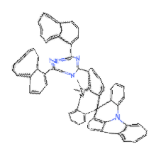 C[Si]1(C)c2ccccc2C2(c3ccccc3-n3c4ccccc4c4cccc2c43)c2cccc(-c3nc(-c4cccc5ccccc45)nc(-c4cccc5ccccc45)n3)c21